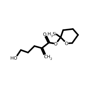 C=C(CCCO)C(=O)OC1([SiH3])CCCCO1